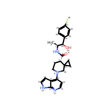 C[C@H](NC(=O)[C@H]1CCN(c2ccnc3[nH]ccc23)CC12CC2)[C@H](O)c1ccc(F)cc1